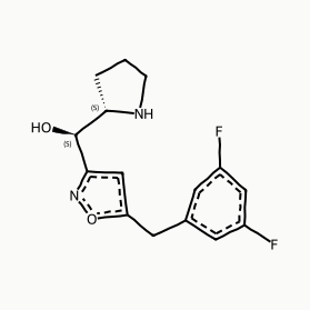 O[C@H](c1cc(Cc2cc(F)cc(F)c2)on1)[C@@H]1CCCN1